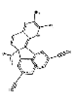 C#Cc1cccc(C2=C3NC(N)=C(N)N=C3C=CC2(c2cccc(C#C)c2)[N+](=O)[O-])c1